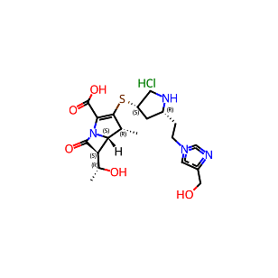 C[C@@H](O)[C@H]1C(=O)N2C(C(=O)O)=C(S[C@@H]3CN[C@H](CCn4cnc(CO)c4)C3)[C@H](C)[C@H]12.Cl